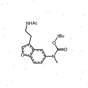 CC(=O)NCCc1coc2ccc(N(C)C(=O)OC(C)(C)C)cc12